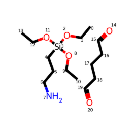 CCO[Si](CCCN)(OCC)OCC.O=CCCCC=O